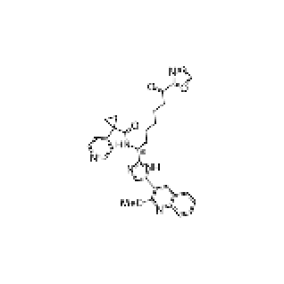 COc1nc2ccccc2cc1-c1cnc([C@H](CCCCCC(=O)c2ncco2)NC(=O)C2(c3ccncc3)CC2)[nH]1